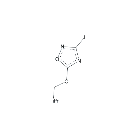 CC(C)COc1nc(I)no1